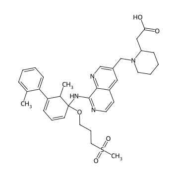 Cc1ccccc1C1=CC=CC(Nc2nccc3cc(CN4CCCCC4CC(=O)O)cnc23)(OCCCS(C)(=O)=O)C1C